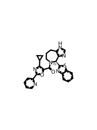 O=C(c1oc(-c2ccccn2)nc1C1CC1)N1CCCc2[nH]cnc2[C@H]1c1nc2ccccc2s1